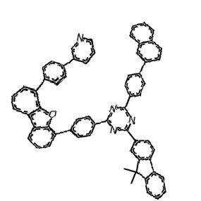 CC1(C)c2ccccc2-c2ccc(-c3nc(-c4ccc(-c5ccc6ccccc6c5)cc4)nc(-c4ccc(-c5cccc6c5oc5c(-c7ccc(-c8cccnc8)cc7)cccc56)cc4)n3)cc21